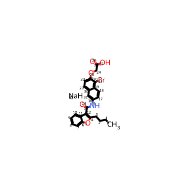 CCCCc1oc2ccccc2c1C(=O)Nc1ccc2c(Br)c(OCC(=O)O)ccc2c1.[NaH]